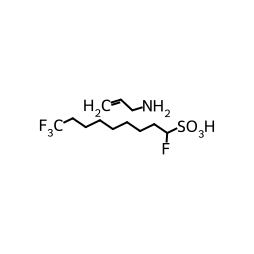 C=CCN.O=S(=O)(O)C(F)CCCCCCCC(F)(F)F